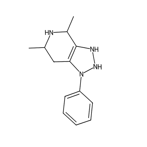 CC1CC2=C(NNN2c2ccccc2)C(C)N1